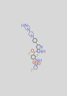 O=C(c1c(F)ccc(NS(=O)(=O)N2CC[C@@H](F)C2)c1F)c1c[nH]c2ncc(-c3ccc(N4CCC(N5CCNCC5)CC4)cc3)cc12